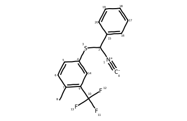 [C-]#[N+]C(Sc1ccc(C)c(C(F)(F)F)c1)c1ccccc1